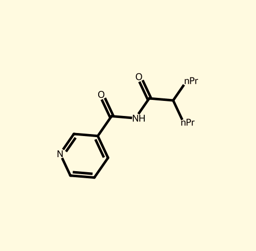 CCCC(CCC)C(=O)NC(=O)c1cccnc1